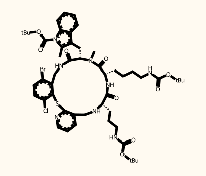 Cc1c(C[C@H]2C(=O)NCc3c(Br)ccc(Cl)c3Sc3ncccc3CN[C@@H](CCCNC(=O)OC(C)(C)C)C(=O)N[C@@H](CCCCNC(=O)OC(C)(C)C)C(=O)N2C)c2ccccc2n1C(=O)OC(C)(C)C